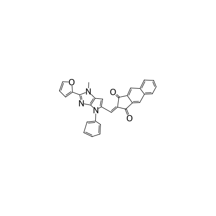 Cn1c(-c2ccco2)nc2c1cc(C=C1C(=O)c3cc4ccccc4cc3C1=O)n2-c1ccccc1